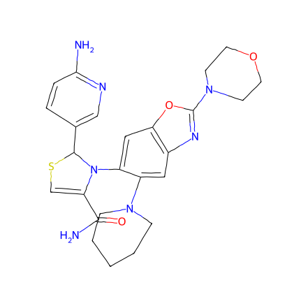 NC(=O)C1=CSC(c2ccc(N)nc2)N1c1cc2oc(N3CCOCC3)nc2cc1N1CCCCC1